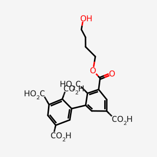 O=C(O)c1cc(C(=O)O)c(C(=O)O)c(-c2cc(C(=O)O)cc(C(=O)OCCCCO)c2C(=O)O)c1